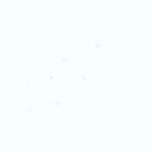 CC(CC(C)C(C)C)C(=O)NC(S)CBC(C)C(C)C(C)C